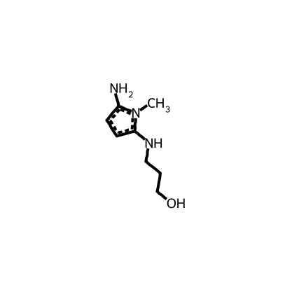 Cn1c(N)ccc1NCCCO